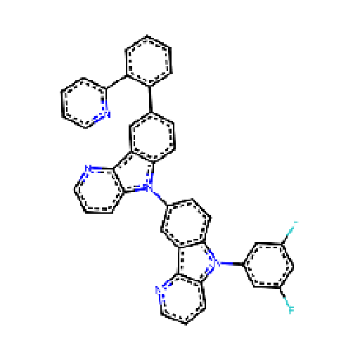 Fc1cc(F)cc(-n2c3ccc(-n4c5ccc(-c6ccccc6-c6ccccn6)cc5c5ncccc54)cc3c3ncccc32)c1